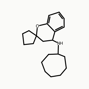 c1ccc2c(c1)OC1(CCCC1)CC2NC1CCCCCCC1